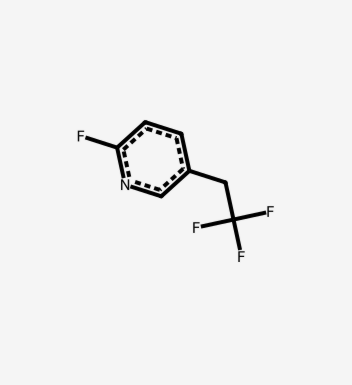 Fc1ccc(CC(F)(F)F)cn1